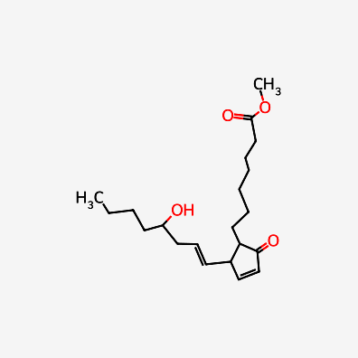 CCCCC(O)CC=CC1C=CC(=O)C1CCCCCCC(=O)OC